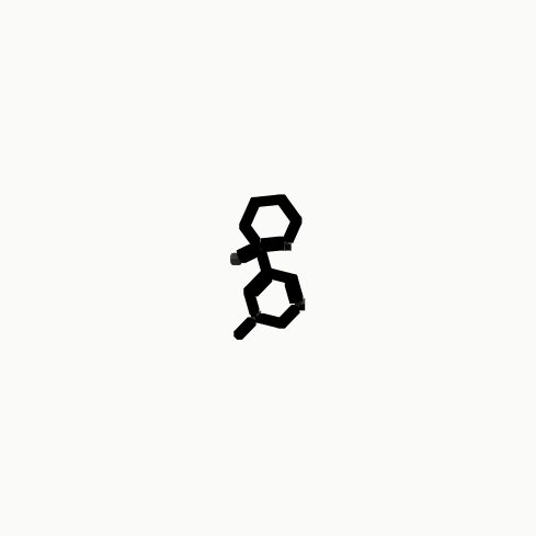 CN1C=C(S2(=O)=NCCCC2)C=NC1